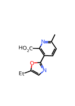 CCc1cnc(-c2ccc(C)nc2C(=O)O)o1